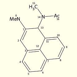 CNC1=Cc2cccc3cccc(c23)C1N(C)C(C)=O